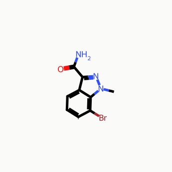 Cn1nc(C(N)=O)c2cc[c]c(Br)c21